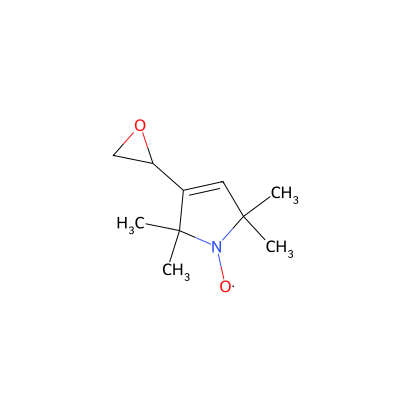 CC1(C)C=C(C2CO2)C(C)(C)N1[O]